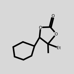 CCC1(C)OC(=O)OC1C1CCCCC1